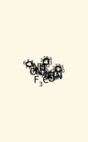 O=C(Nc1ccccc1)N1CC[C@H](N(Cc2ccnc3ccccc23)C(=O)C(F)(F)F)C[C@H]1Cc1ccccc1